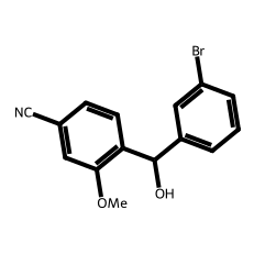 COc1cc(C#N)ccc1C(O)c1cccc(Br)c1